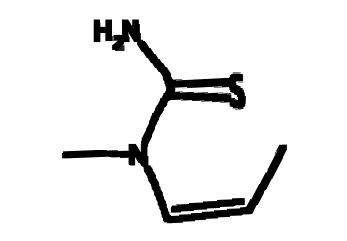 C/C=C\N(C)C(N)=S